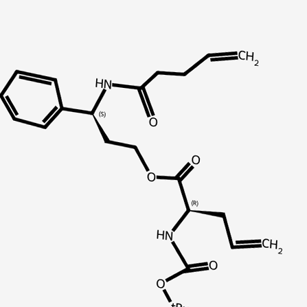 C=CCCC(=O)N[C@@H](CCOC(=O)[C@@H](CC=C)NC(=O)OC(C)(C)C)c1ccccc1